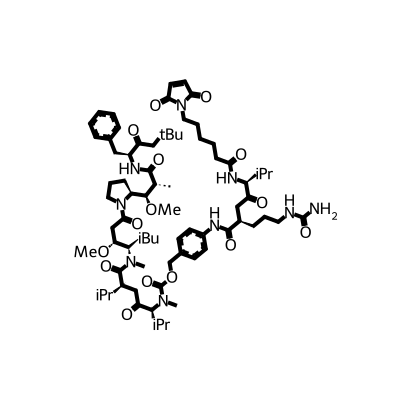 CC[C@H](C)[C@@H]([C@@H](CC(=O)N1CCC[C@H]1[C@H](OC)[C@@H](C)C(=O)N[C@@H](Cc1ccccc1)C(=O)CC(C)(C)C)OC)N(C)C(=O)[C@@H](CC(=O)[C@H](C(C)C)N(C)C(=O)OCc1ccc(NC(=O)[C@H](CCCNC(N)=O)CC(=O)[C@@H](NC(=O)CCCCCN2C(=O)C=CC2=O)C(C)C)cc1)C(C)C